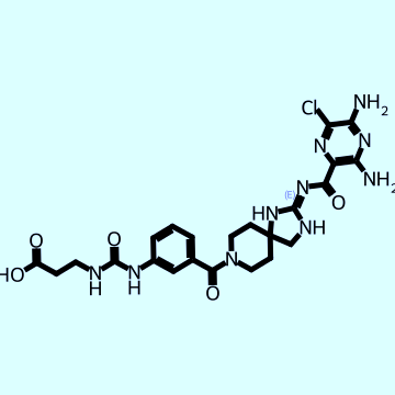 Nc1nc(N)c(C(=O)/N=C2\NCC3(CCN(C(=O)c4cccc(NC(=O)NCCC(=O)O)c4)CC3)N2)nc1Cl